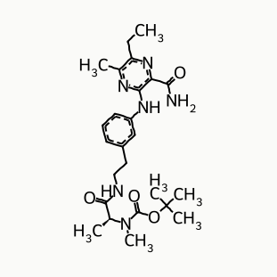 CCc1nc(C(N)=O)c(Nc2cccc(CCNC(=O)[C@H](C)N(C)C(=O)OC(C)(C)C)c2)nc1C